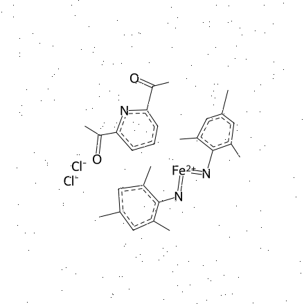 CC(=O)c1cccc(C(C)=O)n1.Cc1cc(C)c([N]=[Fe+2]=[N]c2c(C)cc(C)cc2C)c(C)c1.[Cl-].[Cl-]